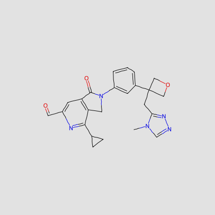 Cn1cnnc1CC1(c2cccc(N3Cc4c(cc(C=O)nc4C4CC4)C3=O)c2)COC1